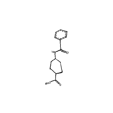 COC(=O)C1CCC(NC(=O)c2ccccc2)CC1